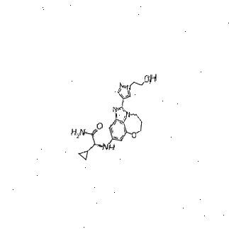 NC(=O)[C@@H](Nc1cc2c3c(c1)nc(-c1cnn(CCO)c1)n3CCCO2)C1CC1